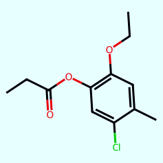 CCOc1cc(C)c(Cl)cc1OC(=O)CC